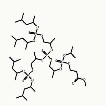 COC(=O)CCSP(=S)(OC(C)C)OC(C)CSP(=S)(OC(C)CSP(=S)(OC(C)CC(C)C)OC(C)CC(C)C)OC(C)CSP(=S)(OC(C)CC(C)C)OC(C)CC(C)C